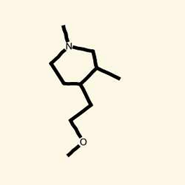 COCCC1CCN(C)CC1C